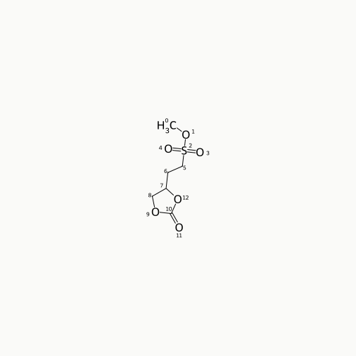 COS(=O)(=O)CCC1COC(=O)O1